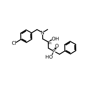 CN(Cc1ccc(Cl)cc1)C[C@@H](O)CP(=O)(O)Cc1ccccc1